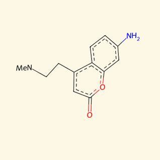 CNCCc1cc(=O)oc2cc(N)ccc12